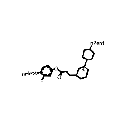 CCCCCCCc1ccc(OC(=O)CCC2CCC[C@H]([C@H]3CC[C@H](CCCCC)CC3)C2)cc1F